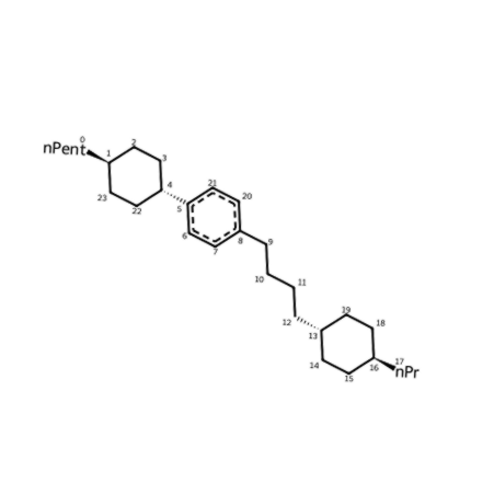 CCCCC[C@H]1CC[C@H](c2ccc(CCCC[C@H]3CC[C@H](CCC)CC3)cc2)CC1